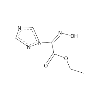 CCOC(=O)C(=NO)n1cncn1